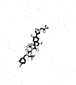 C[C@H](N(Cc1ccc(F)cc1)C(=O)CN1C(=O)N[C@]2(C[C@@H](F)c3cc(-c4cnn(CC(=O)N(C)C)c4)c(F)cc32)C1=O)C(F)(F)F